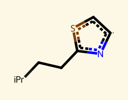 CC(C)CCc1n[c]cs1